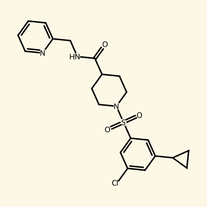 O=C(NCc1ccccn1)C1CCN(S(=O)(=O)c2cc(Cl)cc(C3CC3)c2)CC1